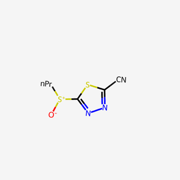 CCC[S+]([O-])c1nnc(C#N)s1